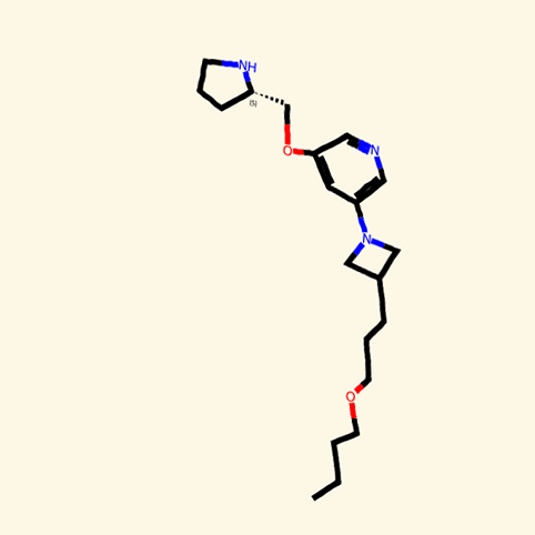 CCCCOCCCC1CN(c2cncc(OC[C@@H]3CCCN3)c2)C1